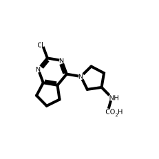 O=C(O)NC1CCN(c2nc(Cl)nc3c2CCC3)C1